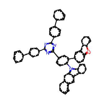 c1ccc(-c2ccc(-c3nc(-c4ccc(-c5ccccc5)cc4)nc(-c4ccc(-n5c6ccccc6c6cc7ccccc7cc65)c(-c5ccc6oc7ccccc7c6c5)c4)n3)cc2)cc1